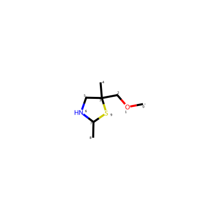 [CH2]OCC1(C)CNC(C)S1